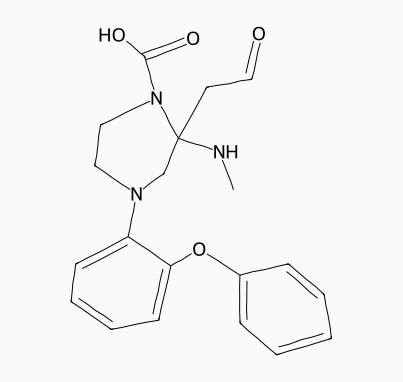 CNC1(CC=O)CN(c2ccccc2Oc2ccccc2)CCN1C(=O)O